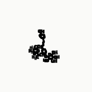 C=C(C)C(=O)OC(C)(C)C.OC1=C(O)C(O)=C(O)C(Oc2ccc(C=CC=Cc3ccc(O)cc3)cc2)O1